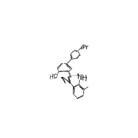 Cc1cccc2nc(-c3cc(-c4ccc(C(C)C)cc4)ccc3O)[nH]c12